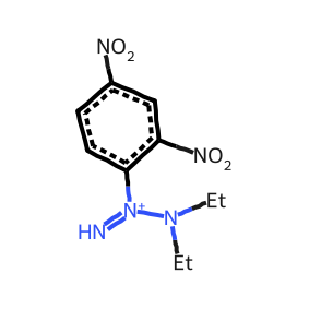 CCN(CC)[N+](=N)c1ccc([N+](=O)[O-])cc1[N+](=O)[O-]